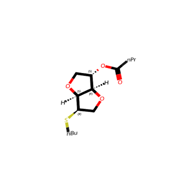 CCCCS[C@@H]1CO[C@H]2[C@@H]1OC[C@@H]2OC(=O)CCC